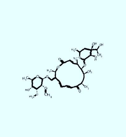 CO[C@@H]1[C@H](O)[C@@H](C)O[C@@H](OCC2/C=C/C=C/C(=O)[C@H](C)C[C@H](C)[C@H](OC3OC(C)C[C@](O)([C@H](C)O)[C@H]3O)C(C)/C=C/C(=O)O[C@@H]2C)[C@@H]1OC